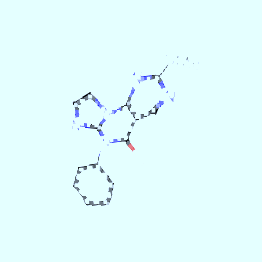 CSc1ncc2c(=O)n(-c3ccccc3)c3nccn3c2n1